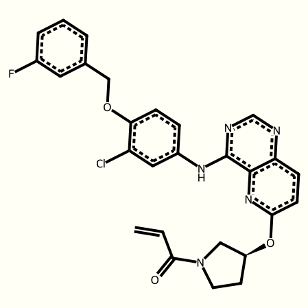 C=CC(=O)N1CC[C@H](Oc2ccc3ncnc(Nc4ccc(OCc5cccc(F)c5)c(Cl)c4)c3n2)C1